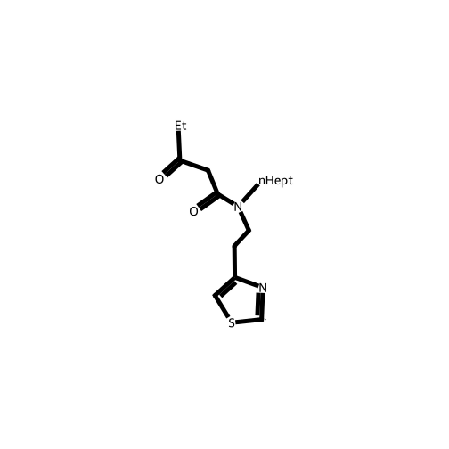 CCCCCCCN(CCc1cs[c]n1)C(=O)CC(=O)CC